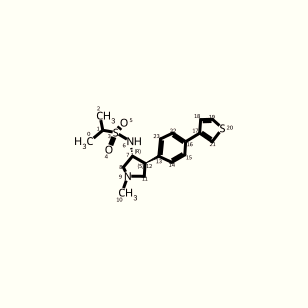 CC(C)S(=O)(=O)N[C@H]1CN(C)C[C@@H]1c1ccc(-c2ccsc2)cc1